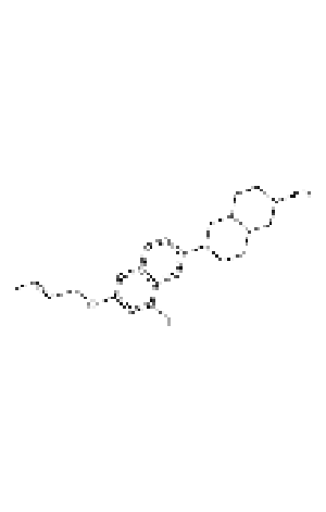 C/C=C/COc1cc(F)c2cc(C3CCC4CC(CCC)CCC4C3)ccc2c1